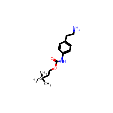 C[Si](C)(C)CCOC(=O)Nc1ccc(CCN)cc1